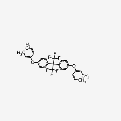 C/C=C\C(=C/C)Oc1ccc(C(c2ccc(OC(/C=C\C)=C/C)cc2)(C(F)(F)F)C(F)(F)F)cc1